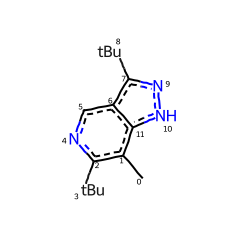 Cc1c(C(C)(C)C)ncc2c(C(C)(C)C)n[nH]c12